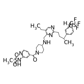 CCc1cnc(CCC(C)c2ccc([SH](C)(F)(F)F)cc2)nc1CNC1CCN(C(=O)c2ccnc(NS(C)(=O)=O)c2)CC1